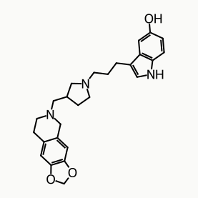 Oc1ccc2[nH]cc(CCCN3CCC(CN4CCc5cc6c(cc5C4)OCO6)C3)c2c1